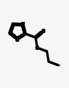 [CH2]CCOC(=O)c1ncco1